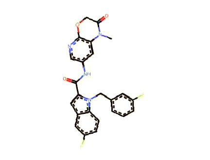 CN1C(=O)COc2ncc(NC(=O)c3cc4cc(F)ccc4n3Cc3cccc(F)c3)cc21